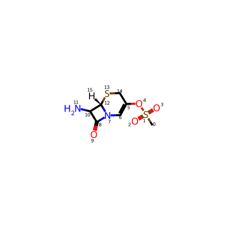 CS(=O)(=O)OC1=CN2C(=O)C(N)[C@@H]2SC1